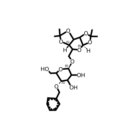 CC1(C)OC2C3OC(C)(C)O[C@H]3C(CO[C@@H]3OC(CO)[C@@H](OCc4ccccc4)C(O)C3O)O[C@@H]2O1